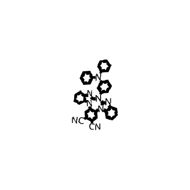 N#Cc1cc2c(cc1C#N)n1c3ccccc3nc1n(-c1cccc(N(c3ccccc3)c3ccccc3)c1)c1nc3ccccc3n21